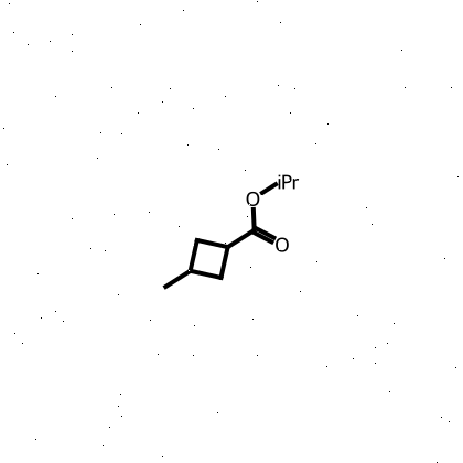 CC1CC(C(=O)OC(C)C)C1